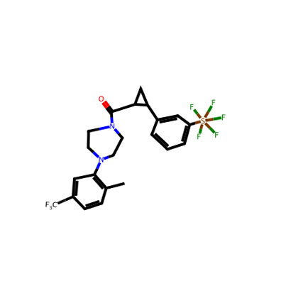 Cc1ccc(C(F)(F)F)cc1N1CCN(C(=O)C2CC2c2cccc(S(F)(F)(F)(F)F)c2)CC1